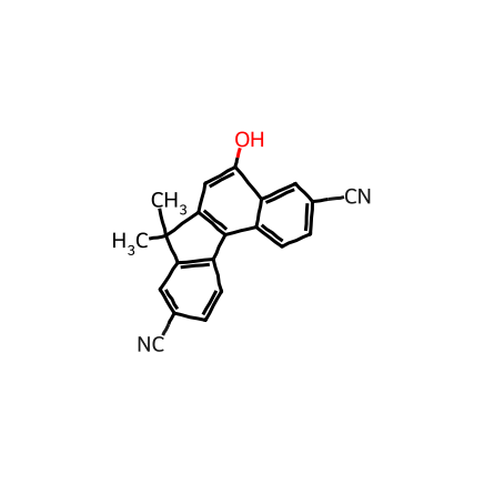 CC1(C)c2cc(C#N)ccc2-c2c1cc(O)c1cc(C#N)ccc21